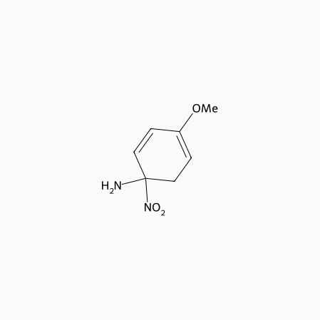 COC1=CCC(N)([N+](=O)[O-])C=C1